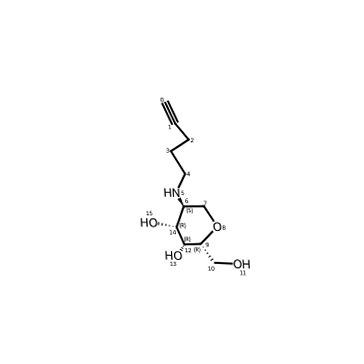 C#CCCCN[C@H]1CO[C@H](CO)[C@H](O)[C@@H]1O